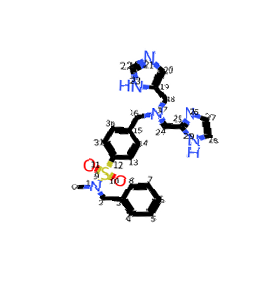 CN(Cc1ccccc1)S(=O)(=O)c1ccc(CN(Cc2cnc[nH]2)Cc2ncc[nH]2)cc1